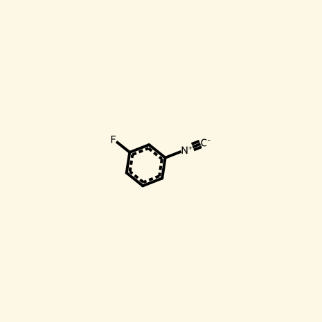 [C-]#[N+]c1cccc(F)c1